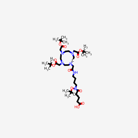 CC(C)(C)OC(=O)CN1CCN(CC(=O)NCCCCN(OC(C)(C)C)C(=O)CCCC(=O)O)CCN(CC(=O)OC(C)(C)C)CCN(CC(=O)OC(C)(C)C)CC1